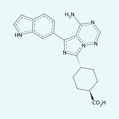 Nc1ncnn2c1c(-c1ccc3cc[nH]c3c1)nc2[C@H]1CC[C@H](C(=O)O)CC1